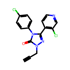 C#CCn1nc(-c2ccncc2Cl)n(-c2ccc(Cl)cc2)c1=O